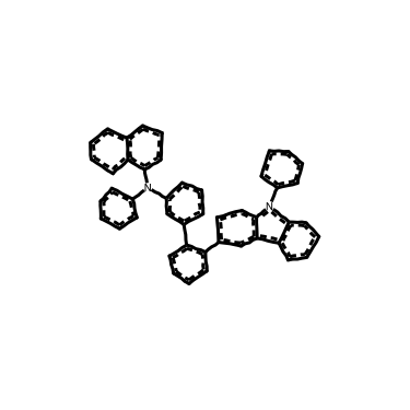 c1ccc(N(c2cccc(-c3ccccc3-c3ccc4c(c3)c3ccccc3n4-c3ccccc3)c2)c2cccc3ccccc23)cc1